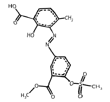 COC(=O)c1cc(N=Nc2c(C)ccc(C(=O)O)c2O)ccc1OS(C)(=O)=O